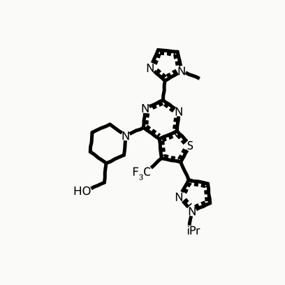 CC(C)n1ccc(-c2sc3nc(-c4nccn4C)nc(N4CCCC(CO)C4)c3c2C(F)(F)F)n1